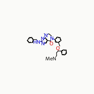 CNCCC(OCc1cccc(N2CCN(C)c3nc(NCc4ccccc4)ncc3C2=O)c1)c1ccccc1